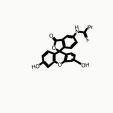 CC(C)C(=S)Nc1ccc2c(c1)C(=O)OC21c2ccc(O)cc2Oc2cc(O)ccc21